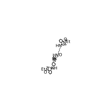 CCC(=O)N1c2ccccc2[C@H](NCCCCC(=O)NCc2cn(-c3ccc(N[C@@H]4C[C@H](C)N(C(=O)CC)c5ccccc54)cc3)nn2)C[C@@H]1C